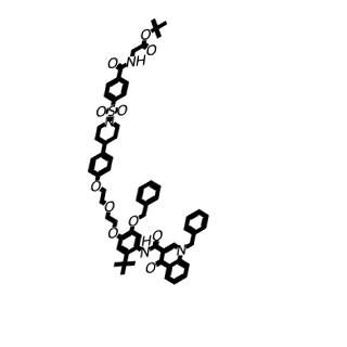 CC(C)(C)OC(=O)CNC(=O)c1ccc(S(=O)(=O)N2CCC(c3ccc(OCCOCCOc4cc(C(C)(C)C)c(NC(=O)c5cn(Cc6ccccc6)c6ccccc6c5=O)cc4OCc4ccccc4)cc3)CC2)cc1